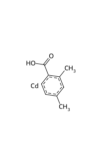 Cc1ccc(C(=O)O)c(C)c1.[Cd]